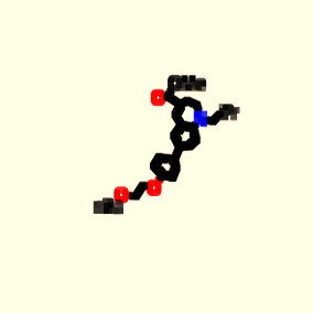 CCCCOCCOc1ccc(-c2ccc3c(c2)C=C(C(=O)OC)CCN3CC(C)C)cc1